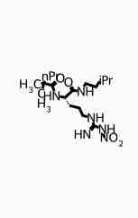 CCCC(C)(C)C(=O)N[C@@H](CCCNC(=N)N[N+](=O)[O-])C(=O)NCCC(C)C